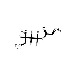 C=CC(=O)OC(F)(F)C(F)(F)C(C)(F)CC(F)(F)F